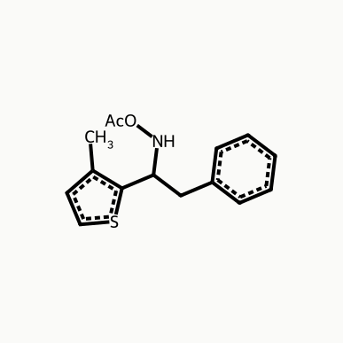 CC(=O)ONC(Cc1ccccc1)c1sccc1C